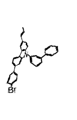 C/C=C/c1ccc2c(c1)c1ccc(-c3ccc(Br)cc3)cc1n2-c1cccc(-c2ccccc2)c1